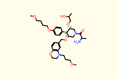 COCCCCOc1ccc([C@@H]2[C@@H](OCc3ccc4c(c3)N(CCCOC)CCO4)CN(C(=O)C(C)N)C[C@H]2OCC(C)O)cc1